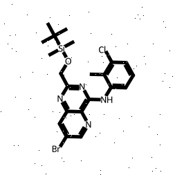 Cc1c(Cl)cccc1Nc1nc(CO[Si](C)(C)C(C)(C)C)nc2cc(Br)cnc12